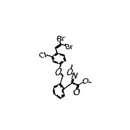 CO/N=C(/C(=O)OC)c1ccccc1COc1ccc(C=C(Br)Br)c(Cl)c1